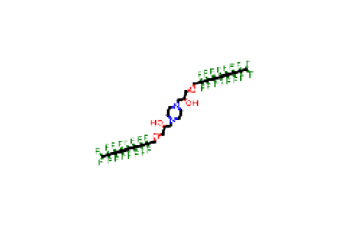 OC(COCC(F)(F)C(F)(F)C(F)(F)C(F)(F)C(F)(F)C(F)(F)C(F)(F)C(F)F)CN1CCN(CC(O)COCC(F)(F)C(F)(F)C(F)(F)C(F)(F)C(F)(F)C(F)(F)C(F)(F)C(F)F)CC1